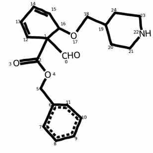 O=CC1(C(=O)OCc2ccccc2)C=CC=CC1OCC1CCNCC1